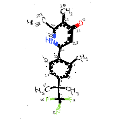 Cc1cc(C(C)(C)C(F)(F)F)ccc1-c1cc(=O)c(C)c(C)[nH]1